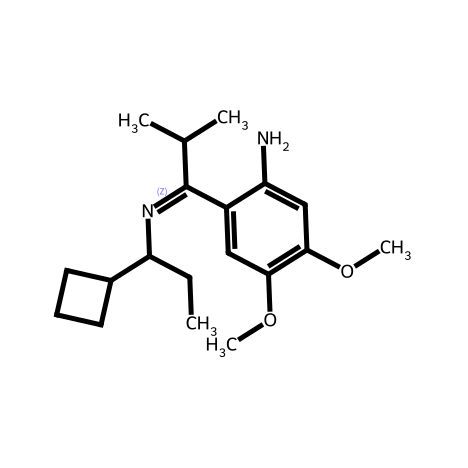 CCC(/N=C(\c1cc(OC)c(OC)cc1N)C(C)C)C1CCC1